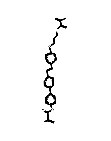 C=C(C)C(=O)OCCCOc1ccc(/C=C/c2ccc(-c3ccc(OC(=O)C(=C)C)cc3)cc2)cc1